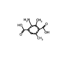 Cc1cc(C(=O)O)c(N)c(C)c1C(=O)O